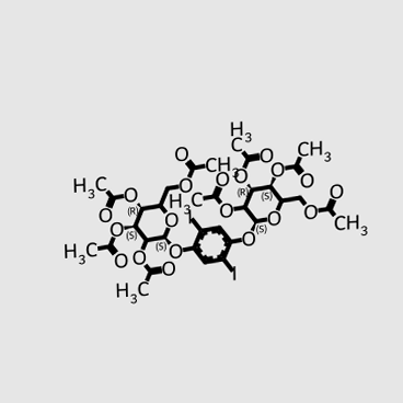 CC(=O)OCC1O[C@@H](Oc2cc(I)c(O[C@@H]3OC(COC(C)=O)[C@H](OC(C)=O)[C@@H](OC(C)=O)C3OC(C)=O)cc2I)C(OC(C)=O)[C@@H](OC(C)=O)[C@@H]1OC(C)=O